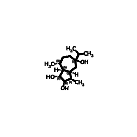 CC(C)[C@@]1(O)CC[C@@H](C)[C@@H]2[C@@H](O)[C@H](O)[C@H](C)[C@@H]2C1